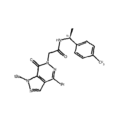 CC(C)c1nn(CC(=O)N[C@@H](C)c2ccc(C(F)(F)F)cc2)c(=O)c2c1cnn2C(C)(C)C